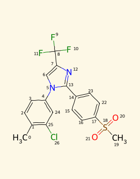 Cc1ccc(-n2cc(C(F)(F)F)nc2-c2ccc(S(C)(=O)=O)cc2)cc1Cl